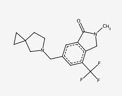 CN1Cc2c(cc(CN3CCC4(CC4)C3)cc2C(F)(F)F)C1=O